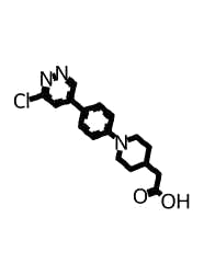 O=C(O)CC1CCN(c2ccc(-c3cnnc(Cl)c3)cc2)CC1